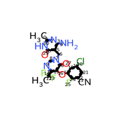 Cc1nc(N)c(Cn2cnc(C(C)(F)F)c(Oc3cc(Cl)cc(C#N)c3F)c2=O)c(=O)[nH]1